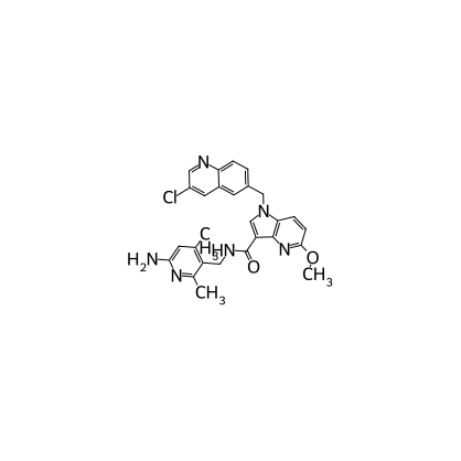 COc1ccc2c(n1)c(C(=O)NCc1c(C)cc(N)nc1C)cn2Cc1ccc2ncc(Cl)cc2c1